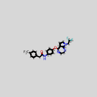 O=C(Cc1ccc(C(F)(F)F)cc1)Nc1ccc(OC2=c3ccn(CC(F)F)c3=NCC=N2)cc1